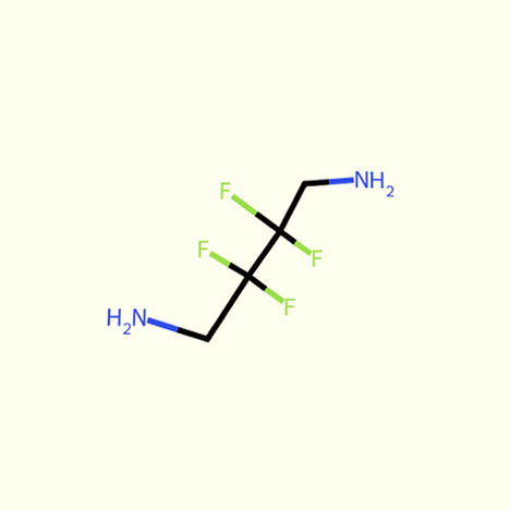 NCC(F)(F)C(F)(F)CN